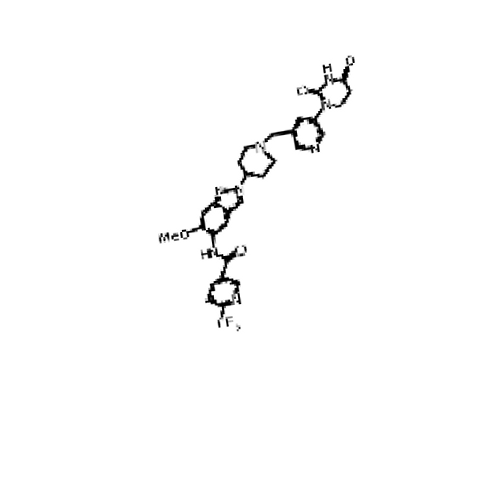 COc1cc2nn(C3CCN(Cc4cncc(N5CCC(=O)NC5=O)c4)CC3)cc2cc1NC(=O)c1ccc(C(F)(F)F)nc1